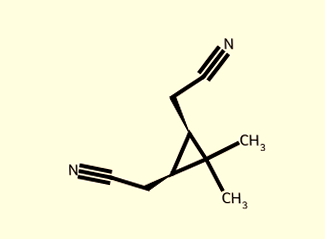 CC1(C)[C@H](CC#N)[C@@H]1CC#N